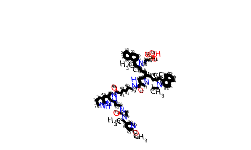 CCCN1/C(=C/C=C(/C=C/C2=[N+](CCCS(=O)(=O)O)c3ccc4ccccc4c3C2(C)C)c2ccc(C(=O)NCCCCCC(=O)NCc3cc4c(nc3CCCN3CCN([C@@H](C)c5ccc(OC)nc5)C3=O)NCCC4)cn2)C(C)(C)c2c1ccc1ccccc21